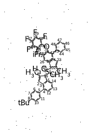 CC1=Cc2c(-c3ccc(C(C)(C)C)cc3)cccc2C1[Si](C)(C)C1C(C)=Cc2c1cc(C(C)C)c(Oc1c(F)c(F)c(F)c(F)c1F)c2-c1ccccc1